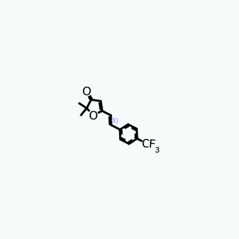 CC1(C)OC(/C=C/c2ccc(C(F)(F)F)cc2)=CC1=O